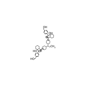 CCC(C1CCN(C(=O)C2CCCCC2(O)C(=O)c2ccc(CO)cc2)CC1)C1CCN(C(=O)C2CCCCC2(O)C(=O)c2ccc(CO)cc2)CC1